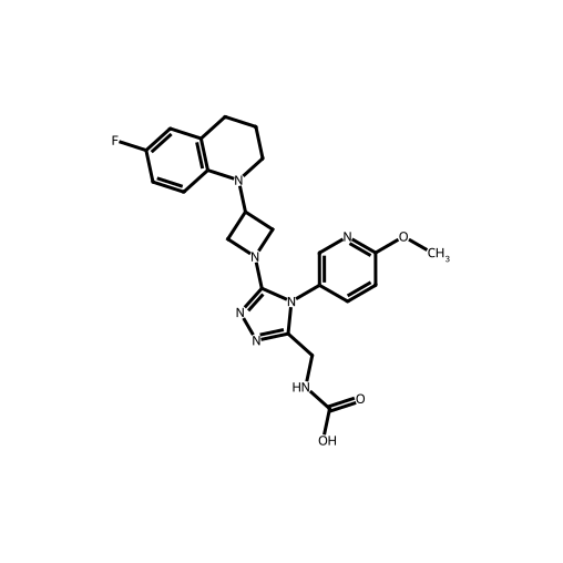 COc1ccc(-n2c(CNC(=O)O)nnc2N2CC(N3CCCc4cc(F)ccc43)C2)cn1